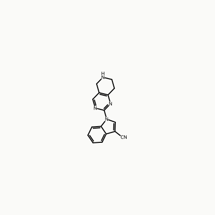 N#Cc1cn(-c2ncc3c(n2)CCNC3)c2ccccc12